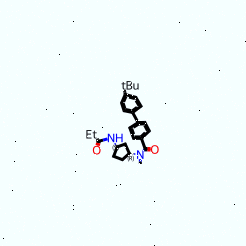 CCC(=O)N[C@H]1CC[C@@H](N(C)C(=O)c2ccc(-c3ccc(C(C)(C)C)cc3)cc2)C1